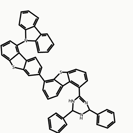 c1ccc(C2N=C(c3cccc4sc5c(-c6ccc7c(c6)sc6cccc(-n8c9ccccc9c9ccccc98)c67)cccc5c34)NC(c3ccccc3)N2)cc1